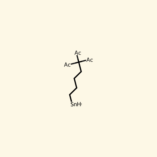 CC(=O)C(CCC[CH2][SnH])(C(C)=O)C(C)=O